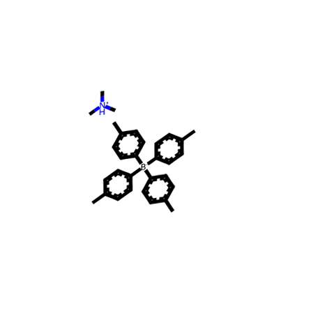 C[NH+](C)C.Cc1ccc([B-](c2ccc(C)cc2)(c2ccc(C)cc2)c2ccc(C)cc2)cc1